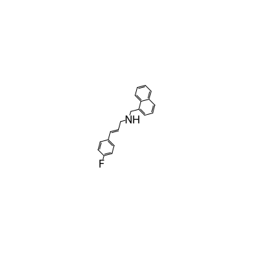 Fc1ccc(/C=C/CNCc2cccc3ccccc23)cc1